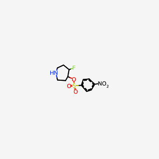 O=[N+]([O-])c1ccc(S(=O)(=O)OC2CCNCCC2F)cc1